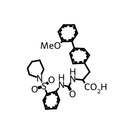 COc1ccccc1-c1ccc(CC(NC(=O)Nc2ccccc2S(=O)(=O)N2CCCCC2)C(=O)O)cc1